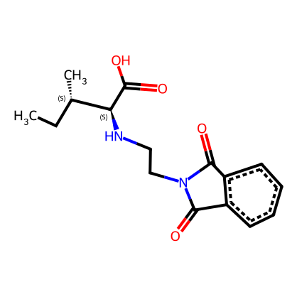 CC[C@H](C)[C@H](NCCN1C(=O)c2ccccc2C1=O)C(=O)O